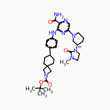 CN1CCN([C@@H]2CCCN(c3cnc(C(N)=O)c(Nc4ccc(C5CCC6(CC5)CN(C(=O)OC(C)(C)C)C6)cc4)n3)C2)C1=O